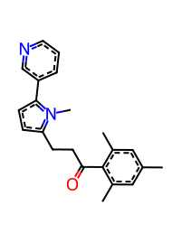 Cc1cc(C)c(C(=O)CCc2ccc(-c3cccnc3)n2C)c(C)c1